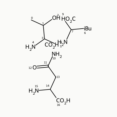 CC(O)C(N)C(=O)O.CCC(C)C(N)C(=O)O.NC(=O)CC(N)C(=O)O